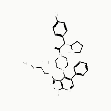 O=C([C@@H](c1ccc(Cl)cc1)C1CCCN1)N1CCN(c2c(-c3ccccc3)cnc3[nH]nc(OC[C@@H](O)CO)c23)CC1